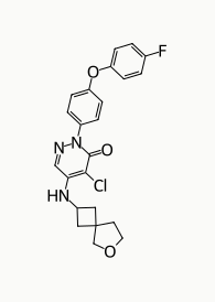 O=c1c(Cl)c(NC2CC3(CCOC3)C2)cnn1-c1ccc(Oc2ccc(F)cc2)cc1